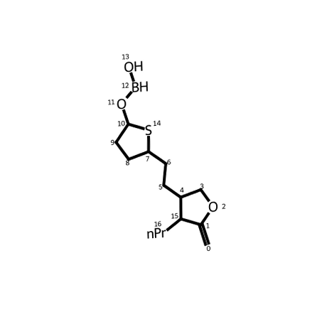 C=C1OCC(CCC2CCC(OBO)S2)C1CCC